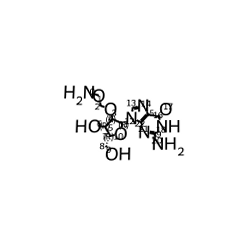 NOCO[C@@H]1[C@H](O)[C@@H](CO)O[C@H]1n1cnc2c(=O)[nH]c(N)nc21